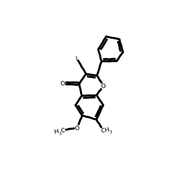 COc1cc2c(=O)c(I)c(-c3ccccc3)oc2cc1C